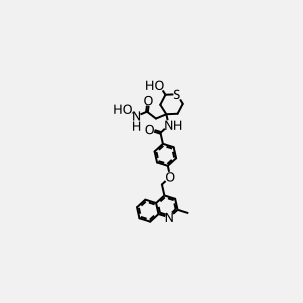 Cc1cc(COc2ccc(C(=O)NC3(CC(=O)NO)CCSC(O)C3)cc2)c2ccccc2n1